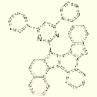 c1ccc(-c2cc(-c3ccccc3)nc(-n3c4ccc5ccccc5c4c4c5ccccc5c5sc6ccccc6c5c43)n2)cc1